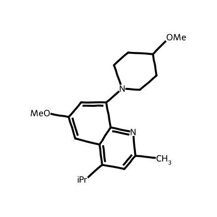 COc1cc(N2CCC(OC)CC2)c2nc(C)cc(C(C)C)c2c1